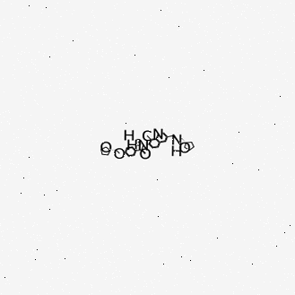 Cc1c(NC(=O)c2ccc(OC[C@@H]3CCCO3)cc2)ccc2cc(CNC[C@@H]3CCCO3)cnc12